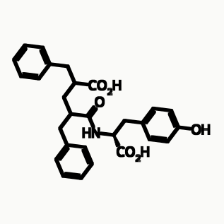 O=C(O)C(Cc1ccccc1)CC(Cc1ccccc1)C(=O)N[C@@H](Cc1ccc(O)cc1)C(=O)O